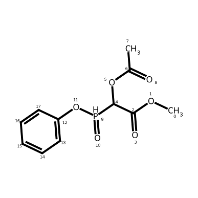 COC(=O)C(OC(C)=O)[PH](=O)Oc1ccccc1